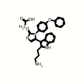 CC(=O)O.NCCCc1[nH]c2ccccc2c1C1=C[N]C(=O)N1c1ccc(Oc2ccccc2)cc1